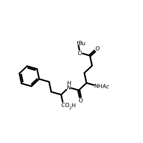 CC(=O)NC(CCC(=O)OC(C)(C)C)C(=O)NC(CCc1ccccc1)C(=O)O